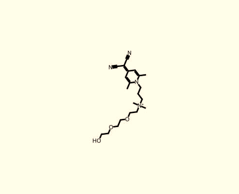 CC1=CC(=C(C#N)C#N)C=C(C)N1CCC[N+](C)(C)CCOCCOCCO